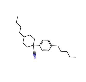 CCCCCc1ccc(C2(C#N)CCC(CCCC)CC2)cc1